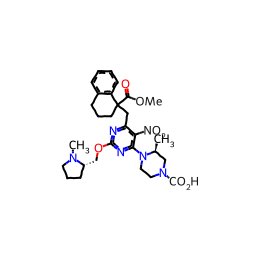 COC(=O)C1(Cc2nc(OC[C@@H]3CCCN3C)nc(N3CCN(C(=O)O)C[C@@H]3C)c2[N+](=O)[O-])CCCc2ccccc21